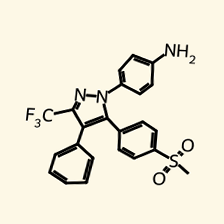 CS(=O)(=O)c1ccc(-c2c(-c3ccccc3)c(C(F)(F)F)nn2-c2ccc(N)cc2)cc1